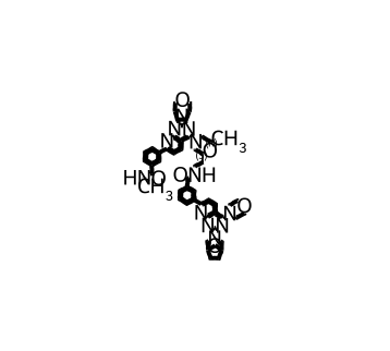 CNC(=O)c1cccc(-c2ccc3c(N4C[C@H](CCNC(=O)c5cccc(-c6ccc7c(N8CCOCC8)nc(N8CC9CCC(C8)O9)nc7n6)c5)O[C@H](C)C4)nc(N4C5CCC4COC5)nc3n2)c1